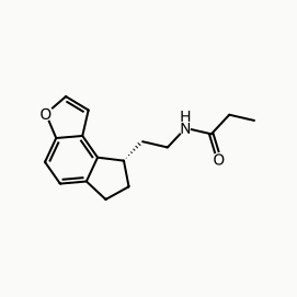 CCC(=O)NCC[C@@H]1CCc2ccc3occc3c21